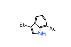 CCc1c[nH]c2c(C(C)=O)cccc12